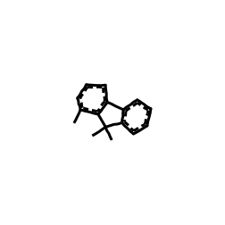 Cc1cccc2c1C(C)(C)c1ccccc1-2